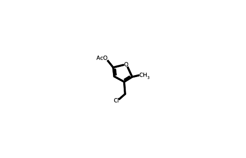 CC(=O)Oc1cc(CCl)c(C)o1